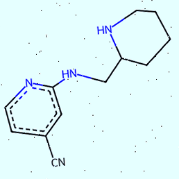 N#Cc1ccnc(NCC2CCCCN2)c1